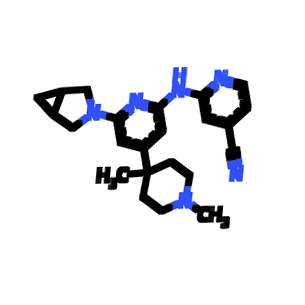 CN1CCC(C)(c2cc(Nc3cc(C#N)ccn3)nc(N3CC4CC4C3)c2)CC1